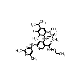 CCONC(=O)c1cnc(Nc2cc(C)nc(C)n2)cc1NC1C(N(C)S(C)(=O)=O)=CC(C(C)C)=C(F)C1C